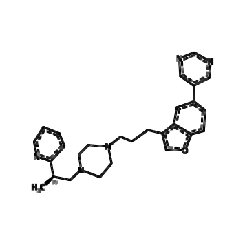 C[C@H](CN1CCN(CCCc2coc3ccc(-c4cncnc4)cc23)CC1)c1ccccn1